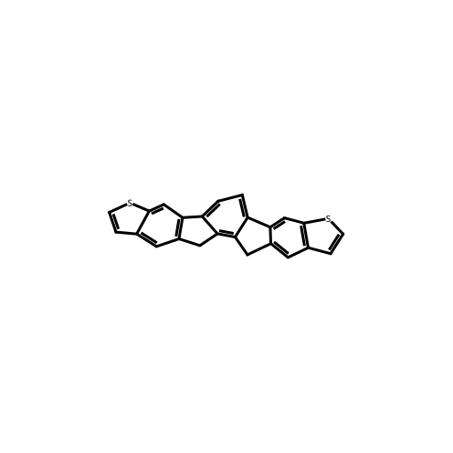 c1cc2cc3c(cc2s1)-c1ccc2c(c1C3)Cc1cc3ccsc3cc1-2